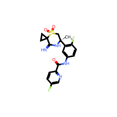 C[C@@]1(c2cc(NC(=O)c3ccc(F)cn3)ccc2F)CS(=O)(=O)C2(CC2)C(=N)N1